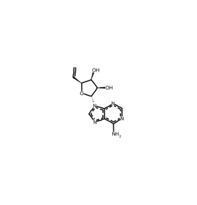 C=C[C@@H]1O[C@@H](n2cnc3c(N)ncnc32)[C@H](O)[C@@H]1O